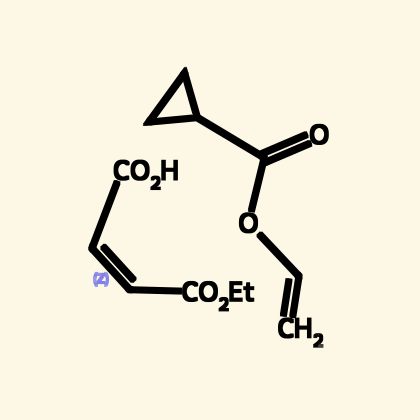 C=COC(=O)C1CC1.CCOC(=O)/C=C\C(=O)O